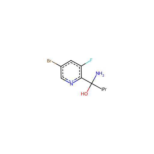 CC(C)C(N)(O)c1ncc(Br)cc1F